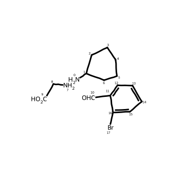 NC1CCCCC1.NCC(=O)O.O=Cc1ccccc1Br